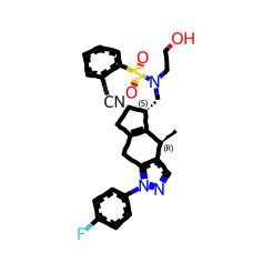 C[C@@H]1C2=C(CC[C@@H]2CN(CCO)S(=O)(=O)c2ccccc2C#N)Cc2c1cnn2-c1ccc(F)cc1